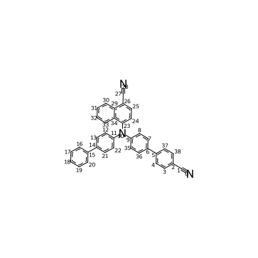 N#Cc1ccc(-c2ccc(N(c3ccc(-c4ccccc4)cc3)c3ccc(C#N)c4ccccc34)cc2)cc1